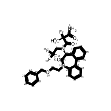 C[C@@](F)(C(N)=O)C(=O)N(CC(F)(F)F)[C@@H]1C(=O)N(CCOCc2ccccc2)c2ccccc2-c2ccccc21